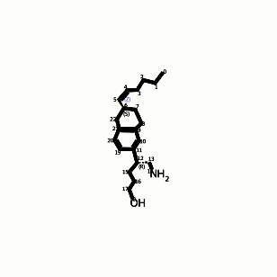 CCCC/C=C\[C@H]1CCc2cc([C@H](CN)CCCO)ccc2C1